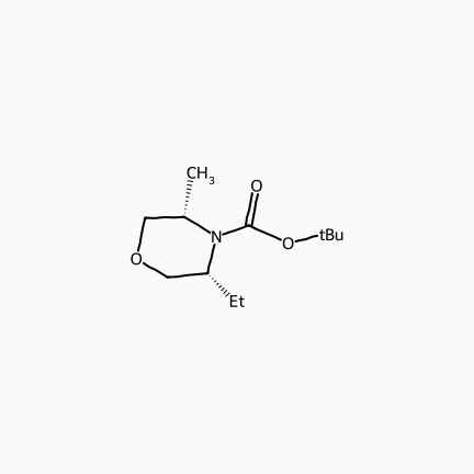 CC[C@@H]1COC[C@H](C)N1C(=O)OC(C)(C)C